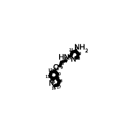 Nc1ccnc(NCCCOc2ccc3ncccc3c2)c1